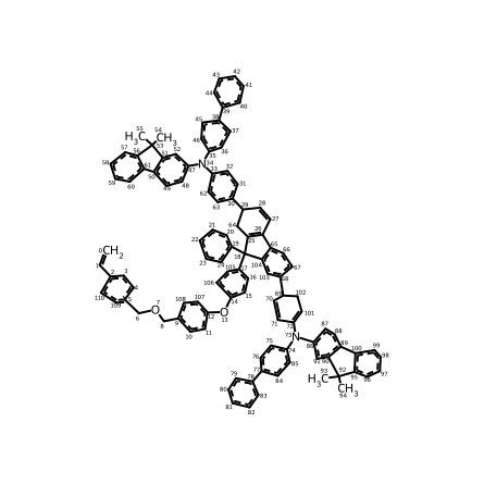 C=Cc1ccc(COCc2ccc(Oc3ccc(C4(c5ccccc5)C5=C(C=CC(c6ccc(N(c7ccc(-c8ccccc8)cc7)c7ccc8c(c7)C(C)(C)c7ccccc7-8)cc6)C5)c5ccc(C6C=CC(N(c7ccc(-c8ccccc8)cc7)c7ccc8c(c7)C(C)(C)c7ccccc7-8)=CC6)cc54)cc3)cc2)cc1